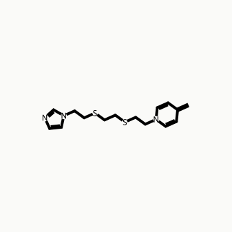 C=C1C=CN(CCSCCSCCn2ccnc2)C=C1